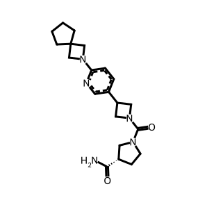 NC(=O)[C@H]1CCN(C(=O)N2CC(c3ccc(N4CC5(CCCC5)C4)nc3)C2)C1